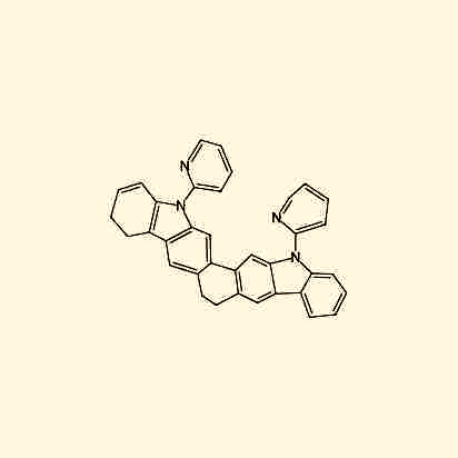 C1=Cc2c(c3cc4c(cc3n2-c2ccccn2)-c2cc3c(cc2CC4)c2ccccc2n3-c2ccccn2)CC1